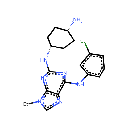 CCn1cnc2c(Nc3cccc(Cl)c3)nc(N[C@H]3CC[C@@H](N)CC3)nc21